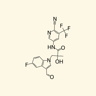 CC(O)(Cn1cc(C=O)c2cc(F)ccc21)C(=O)Nc1cnc(C#N)c(C(F)(F)F)c1